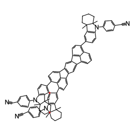 CC12CCCCC1(C)N(c1ccc(C#N)cc1)c1ccc(-c3ccc4c5cc6c(cc5c5cccc3c54)c3ccc(-c4ccc5c(c4)C4(C)CCCCC4(C)N5c4ccc(C#N)cc4)c4c(-c5ccc7c(c5)C5(C)CCCCC5(C)N7c5ccc(C#N)cc5)ccc6c43)cc12